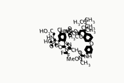 CON(C)C(=O)Nc1ccc(Oc2ccc3c(c2)OC(C)(OC)CC3(C)C)cc1.C[S+](C)C.Cc1nn(-c2cc(NS(C)(=O)=O)c(Cl)cc2Cl)c(=O)n1C(F)F.O=C(O)CNCP(=O)([O-])O